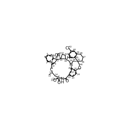 CO[C@]1(c2ncccn2)/C=C/C[C@H](C)[C@@H](C)S(=O)(=O)NC(=O)c2ccc3c(c2)N(C[C@@H]2CC[C@H]21)C[C@@]1(CCCc2cc(Cl)ccc21)CO3